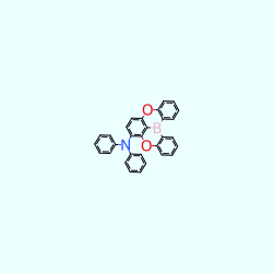 c1ccc(N(c2ccccc2)c2ccc3c4c2Oc2ccccc2B4c2ccccc2O3)cc1